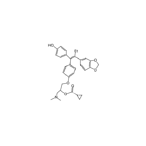 CCC(=C(c1ccc(O)cc1)c1ccc(OCC(CN(C)C)OC(=O)C2CC2)cc1)c1ccc2c(c1)OCO2